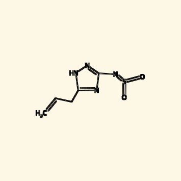 C=CCc1nc(N=S(=O)=O)n[nH]1